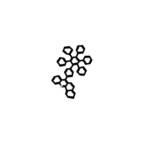 c1ccc(-c2c(-c3ccccc3)c(-c3ccccc3)c(-c3ccc(-c4c5ccccc5nc5c4ccc4ccccc45)cc3)c(-c3ccccc3)c2-c2ccccc2)cc1